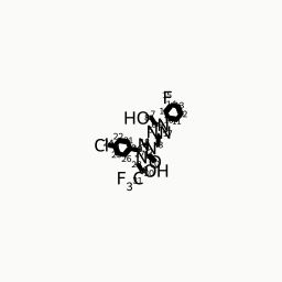 O=c1n(Cc2nc(CO)n(-c3cccc(F)c3)n2)nc(-c2ccc(Cl)cc2)n1CC(O)C(F)(F)F